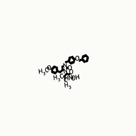 COc1ccc(CC2CN(Cc3ccc(OCc4ccccc4)cc3)C(=O)N2C(C(=O)NO)C(C)C)cc1